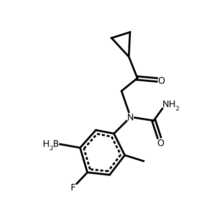 Bc1cc(N(CC(=O)C2CC2)C(N)=O)c(C)cc1F